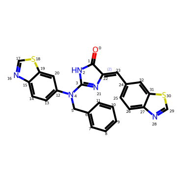 O=C1NC(N(Cc2ccccc2)c2ccc3ncsc3c2)=N/C1=C\c1ccc2ncsc2c1